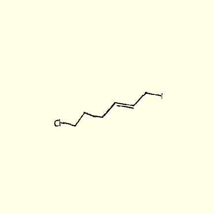 ClCCCC=CCI